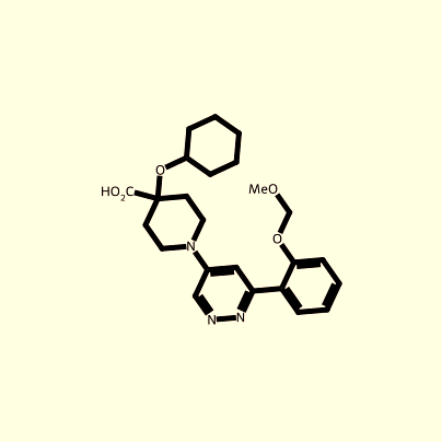 COCOc1ccccc1-c1cc(N2CCC(OC3CCCCC3)(C(=O)O)CC2)cnn1